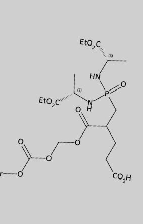 CCOC(=O)[C@H](C)NP(=O)(CC(CCC(=O)O)C(=O)OCOC(=O)OC(C)C)N[C@@H](C)C(=O)OCC